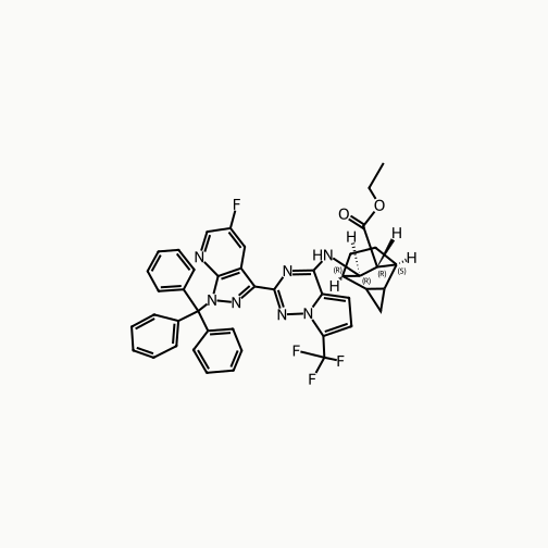 CCOC(=O)[C@H]1[C@H](Nc2nc(-c3nn(C(c4ccccc4)(c4ccccc4)c4ccccc4)c4ncc(F)cc34)nn3c(C(F)(F)F)ccc23)[C@@H]2CC[C@H]1C1CC12